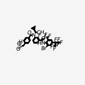 CC(C1CC1)N(C(=O)c1ccc(C[SH](=O)=O)cc1)c1cccc(C(=O)Nc2c(Br)cc(C(F)(C(F)(F)F)C(F)(F)F)cc2C(F)(F)F)c1F